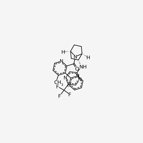 Cc1ccnc(C(=O)N2[C@@H]3CC[C@H]2[C@H](Nc2cnc(C(F)(F)F)cn2)C3)c1-c1ncccn1